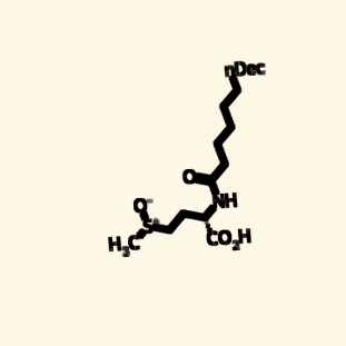 CCCCCCCCCCCCCCCC(=O)N[C@@H](CC[S+](C)[O-])C(=O)O